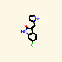 O=C1Nc2cc(Cl)ccc2C1=Cc1ccc[nH]1